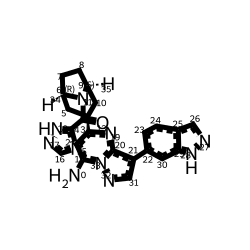 Nc1cc([C@H]2C[C@H]3CC[C@@H](C2)N3C(=O)c2ncn[nH]2)nc2c(-c3ccc4cn[nH]c4c3)cnn12